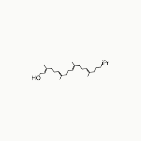 CC(=CCO)CCC=C(C)CCC=C(C)CCC=C(C)CCCC(C)C